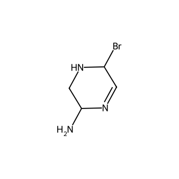 NC1CNC(Br)C=N1